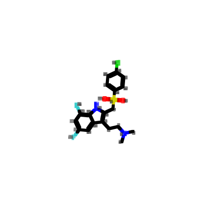 CN(C)CCc1c(CS(=O)(=O)c2ccc(Cl)cc2)[nH]c2c(F)cc(F)cc12